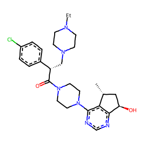 CCN1CCN(C[C@H](C(=O)N2CCN(c3ncnc4c3[C@H](C)C[C@H]4O)CC2)c2ccc(Cl)cc2)CC1